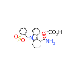 CS(=O)(=O)c1ccccc1Cn1c2c(c3c(OCC(=O)O)cccc31)C(C(N)=O)CCCC2